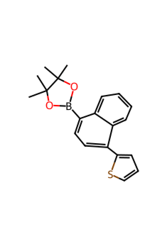 CC1(C)OB(c2ccc(-c3cccs3)c3ccccc23)OC1(C)C